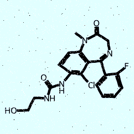 CN1C(=O)CN=C(c2ccccc2F)c2c1ccc(NC(=O)NCCO)c2Cl